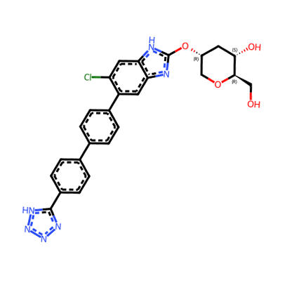 OC[C@H]1OC[C@H](Oc2nc3cc(-c4ccc(-c5ccc(-c6nnn[nH]6)cc5)cc4)c(Cl)cc3[nH]2)C[C@@H]1O